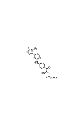 CNC(C)CC(=N)C(=O)c1ccc(Nc2nccc(-c3cnc(C)n3C(C)C)n2)cc1